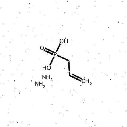 C=CCP(=O)(O)O.N.N